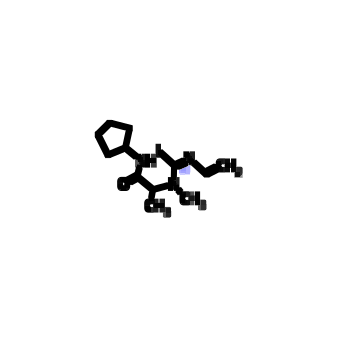 C=C/N=C(/I)N(C)C(C)C(=O)NC1CCCC1